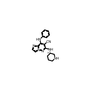 N#Cc1c(N[C@H]2CCCNC2)nn2ccnc2c1Nc1ccccc1